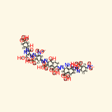 Nc1c(N=Nc2ccc3c(O)c(N=Nc4cc([N+](=O)[O-])c(N=Nc5c(C(=O)O)nn(-c6ccc(S(=O)(=O)O)cc6)c5O)c(S(=O)(=O)O)c4)c(S(=O)(=O)O)cc3c2S(=O)(=O)O)cc(S(=O)(=O)O)c2ccc(N=Nc3ccc([N+](=O)[O-])cc3S(=O)(=O)O)c(O)c12